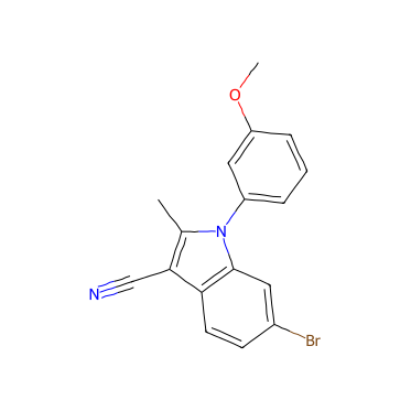 COc1cccc(-n2c(C)c(C#N)c3ccc(Br)cc32)c1